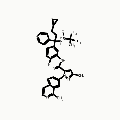 Cc1cc(C(=O)Nc2cc(C(CCC3CC3)(N[S@+]([O-])C(C)(C)C)c3ccncc3)ccc2F)n(-c2ccc3ccnc(C)c3c2)n1